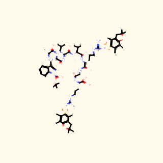 Cc1c(C)c(S(=O)(=O)NC(=N)NCCC[C@H](NC(=O)CNC(=O)[C@H](CCCNC(=N)NS(=O)(=O)c2c(C)c(C)c3c(c2C)CC(C)(C)O3)NC(=O)[C@@H](NC(=O)[C@H](CC(C)C)NC(=O)[C@H](Cc2cn(C(=O)OC(C)(C)C)c3ccccc23)NC(=O)[C@H](C)N)C(C)C)C(=O)O)c(C)c2c1OC(C)(C)C2